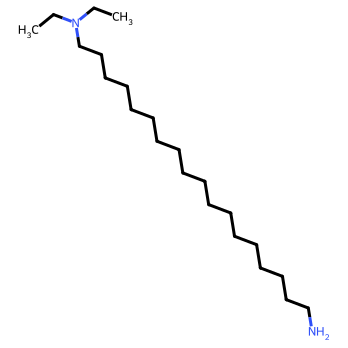 CCN(CC)CCCCCCCCCCCCCCCCCCN